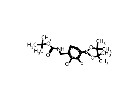 CC(C)(C)OC(=O)NCc1ccc(B2OC(C)(C)C(C)(C)O2)c(F)c1Cl